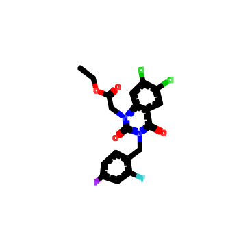 CCOC(=O)Cn1c(=O)n(Cc2ccc(I)cc2F)c(=O)c2cc(Cl)c(Cl)cc21